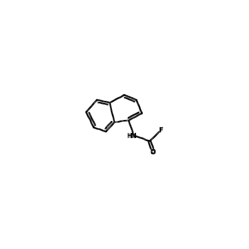 O=C(F)Nc1cccc2ccccc12